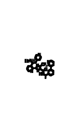 CCN[C@@H](Cc1ccncc1)c1cccnc1-c1nc(C(F)(F)F)c(C(=O)NC(C)c2cccc(-c3cccnc3)c2)s1